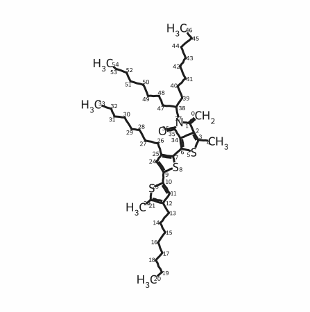 C=C1c2c(C)sc(-c3sc(-c4cc(CCCCCCCC)c(C)s4)cc3CCCCCCCC)c2C(=O)N1C(CCCCCCCC)CCCCCCCC